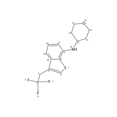 FC(F)(F)Cc1csc2c(NC3CCOCC3)cccc12